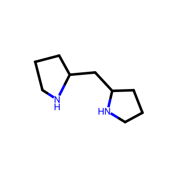 C1CNC(CC2CCCN2)C1